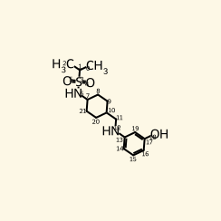 CC(C)S(=O)(=O)NC1CCC(CNc2cccc(O)c2)CC1